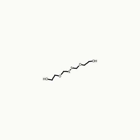 OCCOCSSCOCCO